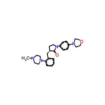 CN1CCN(c2ccccc2C[C@H]2CCN(c3ccc(N4CCOCC4)cc3)C2=O)CC1